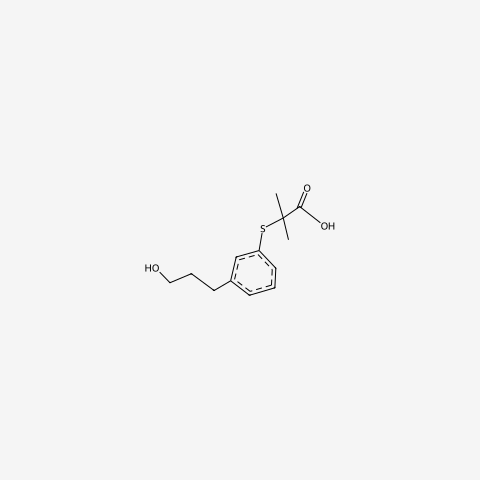 CC(C)(Sc1cccc(CCCO)c1)C(=O)O